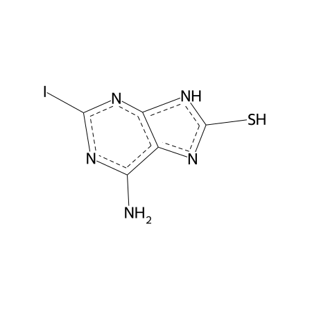 Nc1nc(I)nc2[nH]c(S)nc12